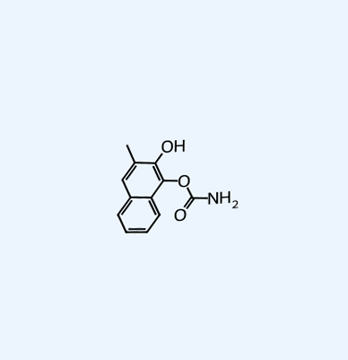 Cc1cc2ccccc2c(OC(N)=O)c1O